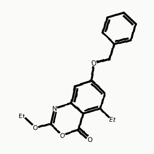 CCOc1nc2cc(OCc3ccccc3)cc(CC)c2c(=O)o1